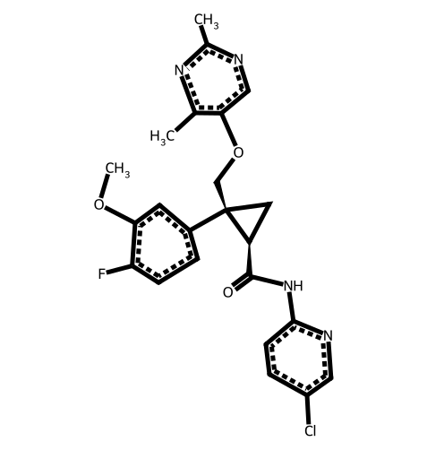 COc1cc([C@]2(COc3cnc(C)nc3C)C[C@H]2C(=O)Nc2ccc(Cl)cn2)ccc1F